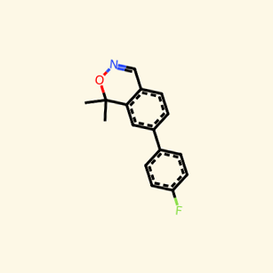 CC1(C)ON=Cc2ccc(-c3ccc(F)cc3)cc21